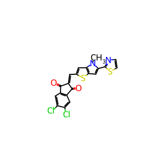 Cn1c(-c2nccs2)cc2sc(C=C3C(=O)c4cc(Cl)c(Cl)cc4C3=O)cc21